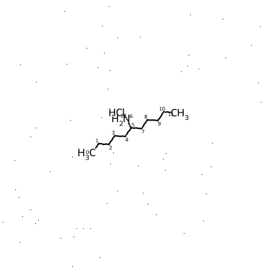 CCCCCC(N)CCCCC.Cl